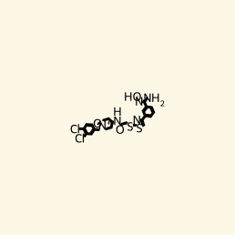 NC(=NO)c1cccc(-c2csc(SCC(=O)NC3CC[N+]([O-])(Cc4ccc(Cl)c(Cl)c4)CC3)n2)c1